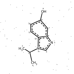 CC(C)n1cnc2cc(O)ccc21